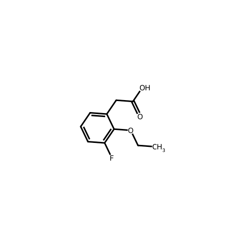 CCOc1c(F)cccc1CC(=O)O